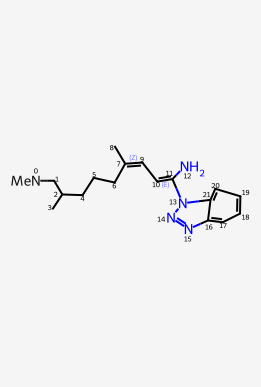 CNCC(C)CCC/C(C)=C\C=C(/N)n1nnc2ccccc21